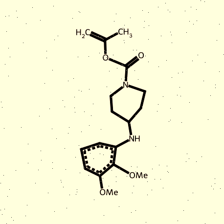 C=C(C)OC(=O)N1CCC(Nc2cccc(OC)c2OC)CC1